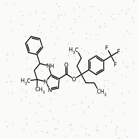 CCCC(CCC)(OC(=O)c1cnn2c1NC(c1ccccc1)CC2(C)C)c1ccc(C(F)(F)F)cc1